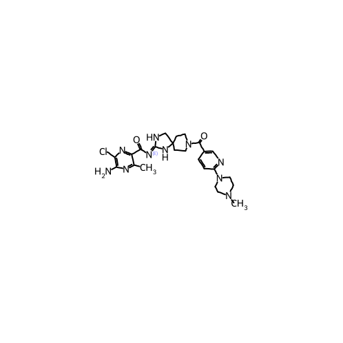 Cc1nc(N)c(Cl)nc1C(=O)/N=C1\NCC2(CCN(C(=O)c3ccc(N4CCN(C)CC4)nc3)CC2)N1